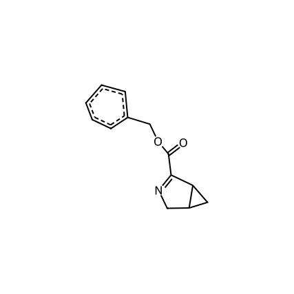 O=C(OCc1ccccc1)C1=NCC2CC12